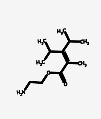 CC(C(=O)OCCN)=C(C(C)C)C(C)C